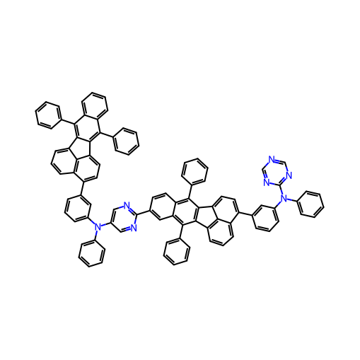 c1ccc(-c2c3c(c(-c4ccccc4)c4ccccc24)-c2ccc(-c4cccc(N(c5ccccc5)c5cnc(-c6ccc7c(-c8ccccc8)c8c(c(-c9ccccc9)c7c6)-c6cccc7c(-c9cccc(N(c%10ccccc%10)c%10ncncn%10)c9)ccc-8c67)nc5)c4)c4cccc-3c24)cc1